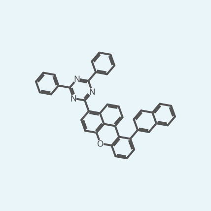 c1ccc(-c2nc(-c3ccccc3)nc(-c3ccc4c5c(cccc35)-c3c(cccc3-c3ccc5ccccc5c3)O4)n2)cc1